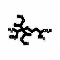 CC(C)(C)OC(=O)C(SSCC(N)C(=O)O)(C(=O)OC(C)(C)C)C(N)C(=O)O